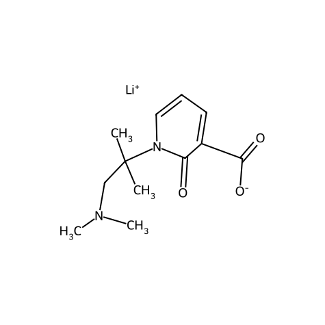 CN(C)CC(C)(C)n1cccc(C(=O)[O-])c1=O.[Li+]